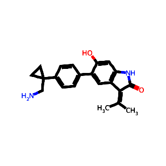 CC(C)=C1C(=O)Nc2cc(O)c(-c3ccc(C4(CN)CC4)cc3)cc21